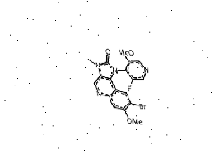 COc1cc2ncc3c(c2cc1Br)n(-c1c(F)cncc1OC)c(=O)n3C